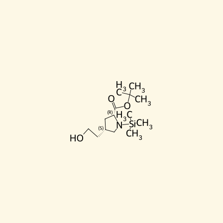 CC(C)(C)OC(=O)[C@H]1C[C@@H](CCO)CN1[Si](C)(C)C